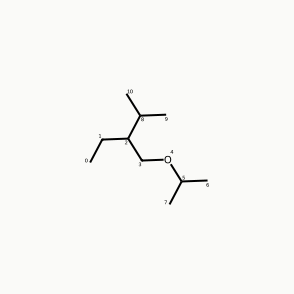 CCC(COC(C)C)C(C)C